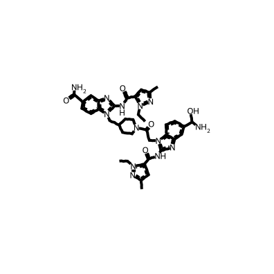 CCn1nc(C)cc1C(=O)Nc1nc2cc(C(N)O)ccc2n1CC(=O)N1CCC(Cn2c(NC(=O)c3cc(C)nn3CC)nc3cc(C(N)=O)ccc32)CC1